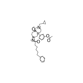 CO[C@]12CC[C@@H](N(C)C(=O)CCCCCc3ccccc3)C[C@]1(c1cccc(OC(C)=O)c1)CCN(CC1CC1)C2